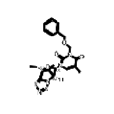 CC[C@]12O[C@@H](n3cc(C)c(=O)n(COCc4ccccc4)c3=O)[C@H](C1C)n1nnnc12